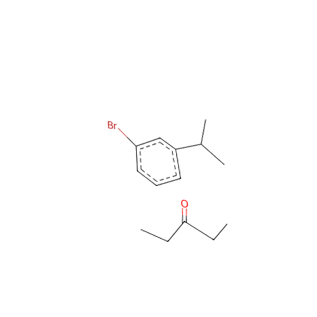 CC(C)c1cccc(Br)c1.CCC(=O)CC